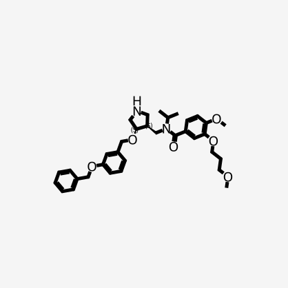 COCCCOc1cc(C(=O)N(C[C@@H]2CNC[C@H]2OCc2cccc(OCc3ccccc3)c2)C(C)C)ccc1OC